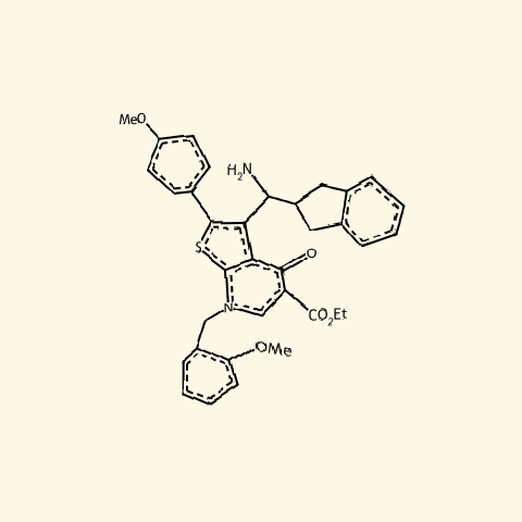 CCOC(=O)c1cn(Cc2ccccc2OC)c2sc(-c3ccc(OC)cc3)c(C(N)C3Cc4ccccc4C3)c2c1=O